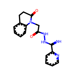 N=C(NNC(=O)CN1C(=O)CCc2ccccc21)c1ccccn1